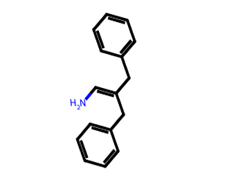 NC=C(Cc1ccccc1)Cc1ccccc1